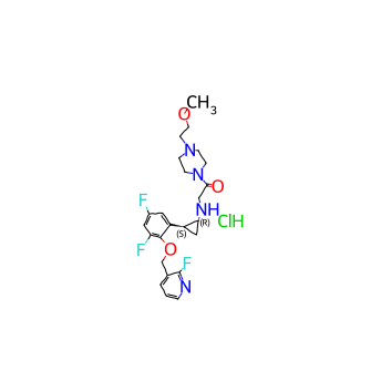 COCCN1CCN(C(=O)CN[C@@H]2C[C@H]2c2cc(F)cc(F)c2OCc2cccnc2F)CC1.Cl